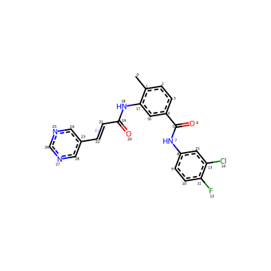 Cc1ccc(C(=O)Nc2ccc(F)c(Cl)c2)cc1NC(=O)/C=C/c1cncnc1